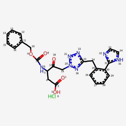 Cl.O=C(O)CC(NC(=O)OCc1ccccc1)C(=O)Cn1nnc(Cc2ccccc2-c2ncc[nH]2)n1